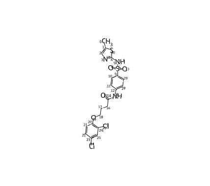 Cc1cnc(NS(=O)(=O)c2ccc(NC(=O)CCCOc3ccc(Cl)cc3Cl)cc2)s1